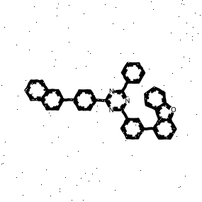 c1ccc(-c2nc(-c3ccc(-c4ccc5ccccc5c4)cc3)nc(-c3cccc(-c4cccc5oc6ccccc6c45)c3)n2)cc1